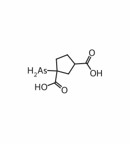 O=C(O)C1CCC([AsH2])(C(=O)O)C1